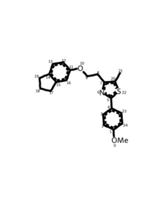 COc1ccc(-c2nc(CCOc3ccc4c(c3)CCC4)c(C)s2)cc1